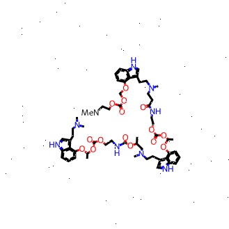 CNCCOC(=O)OCOc1cccc2[nH]cc(CCN(C)CCC(=O)NCCOC(=O)OC(C)Oc3cccc4[nH]cc(CCN(C)CC(C)OC(=O)NCCOC(=O)OC(C)Oc5cccc6[nH]cc(CCN(C)C)c56)c34)c12